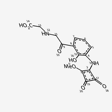 COc1c(Nc2cccc(C(=O)CNCC(=O)O)c2O)c(=O)c1=O